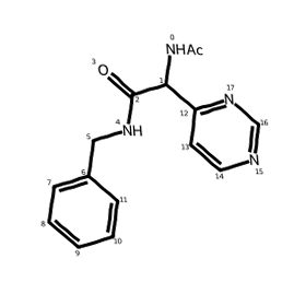 CC(=O)NC(C(=O)NCc1ccccc1)c1ccncn1